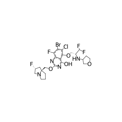 Oc1nc(OC[C@@]23CCCN2C[C@H](F)C3)nc2c(F)c(Br)c(Cl)c(OC[C@@H](NC3CCOC3)C(F)F)c12